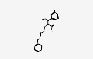 CCC(c1cccc(F)c1)C(CNC(=O)OCc1ccccc1)C(=O)O